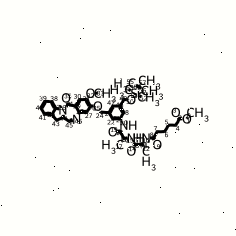 COC(=O)CCCCC(=O)N[C@@H](C)C(=O)N[C@@H](C)C(=O)Nc1cc(COc2cc3c(cc2OC)C(=O)N2c4ccccc4CC2C=N3)cc(CO[Si](C)(C)C(C)(C)C)c1